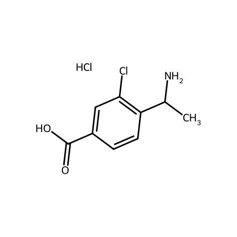 CC(N)c1ccc(C(=O)O)cc1Cl.Cl